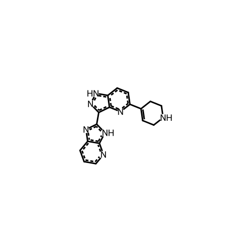 C1=C(c2ccc3[nH]nc(-c4nc5cccnc5[nH]4)c3n2)CCNC1